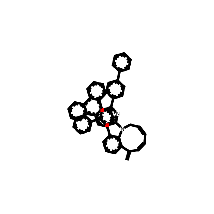 C=C1/C=C\C=C/CN(c2nc(-c3ccccc3)nc(-c3ccc(-c4ccccc4)cc3)n2)c2c1cccc2-c1ccc2c3ccccc3c3ccccc3c2c1